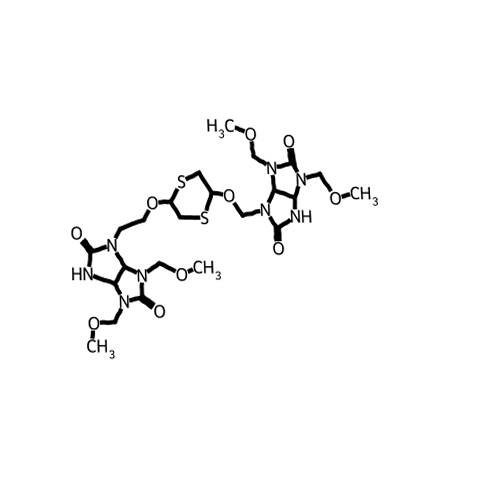 COCN1C(=O)N(COC)C2C1NC(=O)N2CCOC1CSC(OCN2C(=O)NC3C2N(COC)C(=O)N3COC)CS1